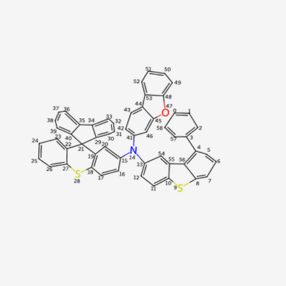 c1ccc(-c2cccc3sc4ccc(N(c5ccc6c(c5)C5(c7ccccc7S6)c6ccccc6-c6ccccc65)c5ccc6c(c5)oc5ccccc56)cc4c23)cc1